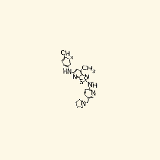 Cc1ccc(Nc2cc(C)c3nc(Nc4ccc(CN5CCCC5)cn4)sc3n2)cc1